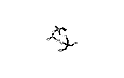 C=C[Si](C)(C)OB(O)O.NC(CO)(CO)CO